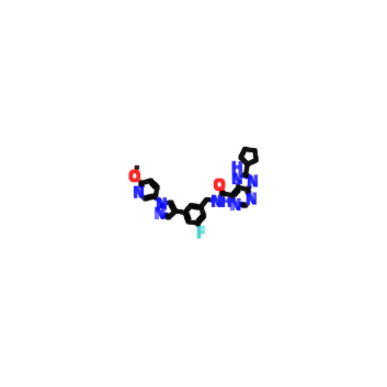 COc1ccc(-n2cc(-c3cc(F)cc(CNC(=O)c4ncnc5nc(C6CCCC6)[nH]c45)c3)cn2)cn1